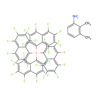 Cc1cccc([NH3+])c1C.Fc1c(F)c(F)c2c([B-](c3c(F)c(F)c(F)c4c(F)c(F)c(F)c(F)c34)(c3c(F)c(F)c(F)c4c(F)c(F)c(F)c(F)c34)c3c(F)c(F)c(F)c4c(F)c(F)c(F)c(F)c34)c(F)c(F)c(F)c2c1F